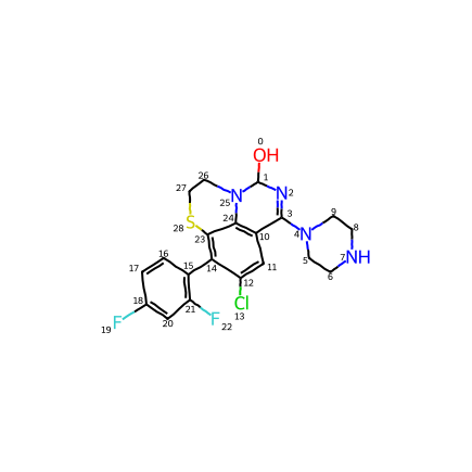 OC1N=C(N2CCNCC2)c2cc(Cl)c(-c3ccc(F)cc3F)c3c2N1CCS3